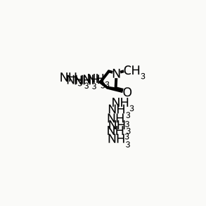 CN1CCCC1=O.N.N.N.N.N.N.N.N.N.N.N